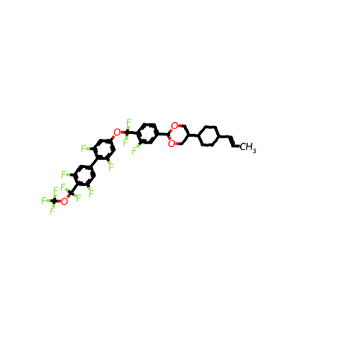 C/C=C/C1CCC(C2COC(c3ccc(C(F)(F)Oc4cc(F)c(-c5cc(F)c(C(F)(F)OC(F)(F)F)c(F)c5)c(F)c4)c(F)c3)OC2)CC1